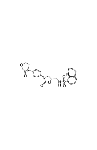 O=C1COCCN1c1ccc(N2C[C@H](CNS(=O)(=O)c3cccc4cccnc34)OC2=O)cc1